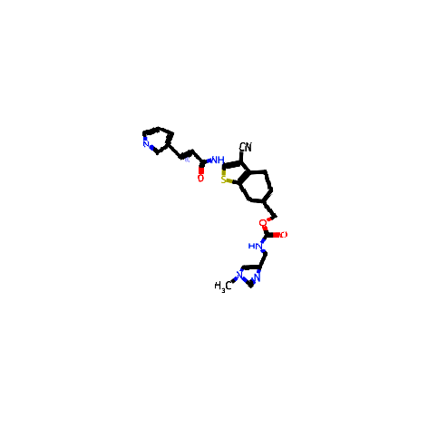 Cn1cnc(CNC(=O)OCC2CCc3c(sc(NC(=O)/C=C/c4cccnc4)c3C#N)C2)c1